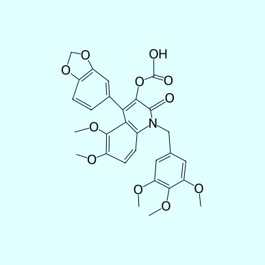 COc1cc(Cn2c(=O)c(OC(=O)O)c(-c3ccc4c(c3)OCO4)c3c(OC)c(OC)ccc32)cc(OC)c1OC